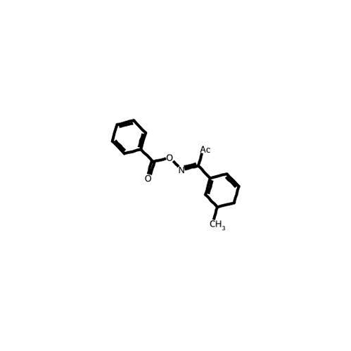 CC(=O)/C(=N\OC(=O)c1ccccc1)C1=CC(C)CC=C1